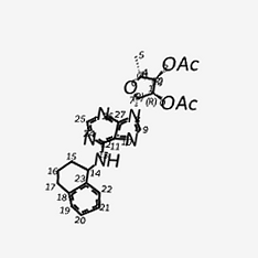 CC(=O)O[C@@H]1[C@H](OC(C)=O)[C@@H](C)O[C@H]1n1cnc2c(NC3CCCc4ccccc43)ncnc21